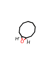 C1CCCC[C@H]2O[C@H]2CCC1